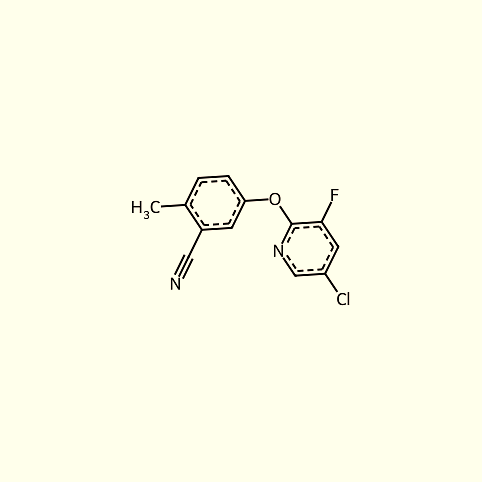 Cc1ccc(Oc2ncc(Cl)cc2F)cc1C#N